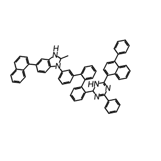 CC1Nc2cc(-c3cccc4ccccc34)ccc2N1c1cccc(-c2ccccc2-c2ccccc2C2N=C(c3ccccc3)N=C(c3ccc(-c4ccccc4)c4ccccc34)N2)c1